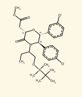 CCC(CO[Si](C)(C)C(C)(C)C)N1C(=O)[C@H](CC(=O)OC)O[C@H](c2cccc(Cl)c2)[C@H]1c1ccc(Cl)cc1